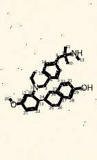 CCN(Cc1ccc(CC(C)(C)NC)cc1)C1C=C(OC)C=CC1[C@@H]1CCc2cc(O)ccc2C1